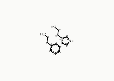 SCCc1cccnc1.SCCn1ccnc1